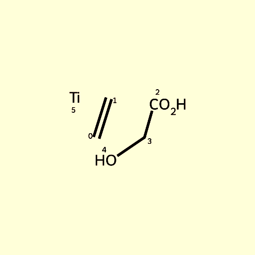 C=C.O=C(O)CO.[Ti]